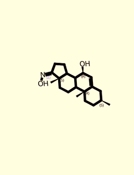 C[C@H]1CC[C@@]2(C)C(=C[C@H](O)C3C2CC[C@]2(C)/C(=N\O)CCC32)C1